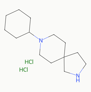 C1CCC(N2CCC3(CCNC3)CC2)CC1.Cl.Cl